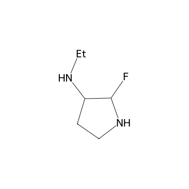 CCNC1CCNC1F